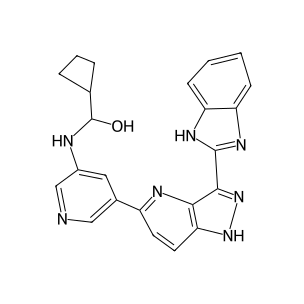 OC(Nc1cncc(-c2ccc3[nH]nc(-c4nc5ccccc5[nH]4)c3n2)c1)C1CCC1